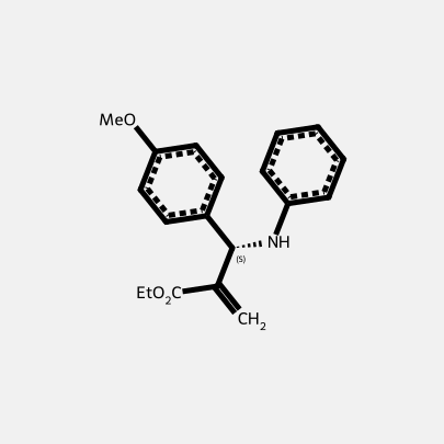 C=C(C(=O)OCC)[C@@H](Nc1ccccc1)c1ccc(OC)cc1